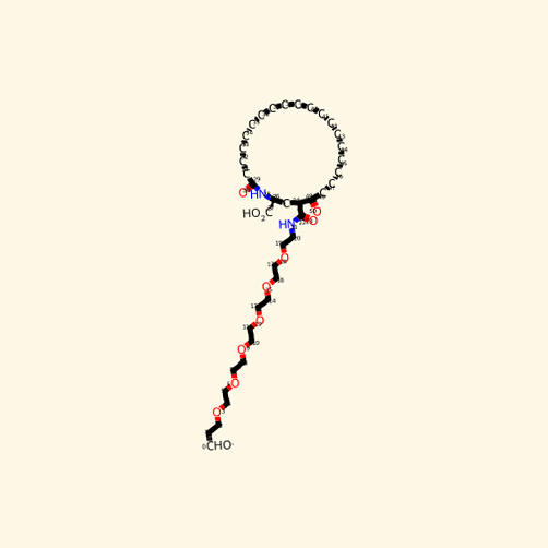 O=[C]CCOCCOCCOCCOCCOCCOCCNC(=O)C1C[C@@H](C(=O)O)NC(=O)CCCCCCCCCCCCCCCCCCC1=O